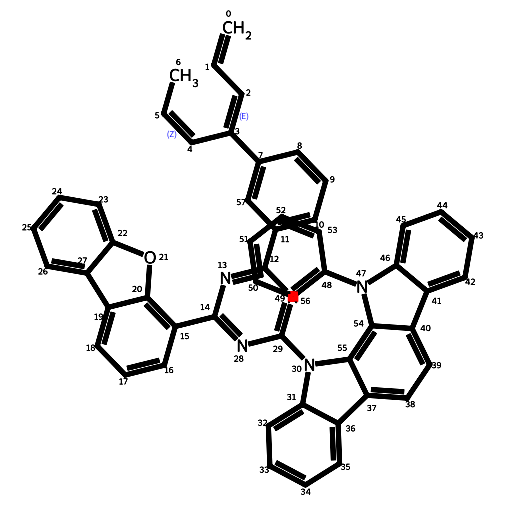 C=C/C=C(\C=C/C)c1cccc(-c2nc(-c3cccc4c3oc3ccccc34)nc(-n3c4ccccc4c4ccc5c6ccccc6n(-c6ccccc6)c5c43)n2)c1